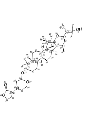 C[C@@H]1C[C@H]([C@H](O)C(C)(C)O)O[C@H]2C1[C@@]1(C)CC[C@@]34C[C@@]35CC[C@H](OC3CN([C@@H]6CCOC6=O)CCO3)C(C)(C)[C@@H]5CC[C@H]4[C@]1(C)[C@H]2O